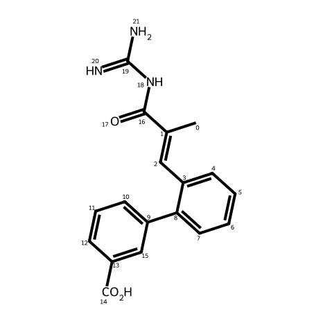 C/C(=C\c1ccccc1-c1cccc(C(=O)O)c1)C(=O)NC(=N)N